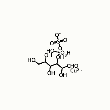 O=CC(O)C(O)C(O)C(O)CO.O=S(=O)(O)O.O=S(=O)([O-])[O-].[Cu+2]